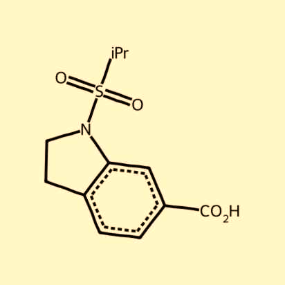 CC(C)S(=O)(=O)N1CCc2ccc(C(=O)O)cc21